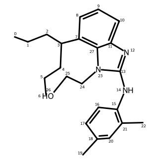 CCCC(CCC)c1cccc2nc(Nc3ccc(C)cc3C)n(CCO)c12